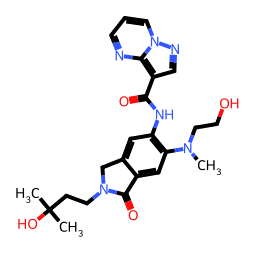 CN(CCO)c1cc2c(cc1NC(=O)c1cnn3cccnc13)CN(CCC(C)(C)O)C2=O